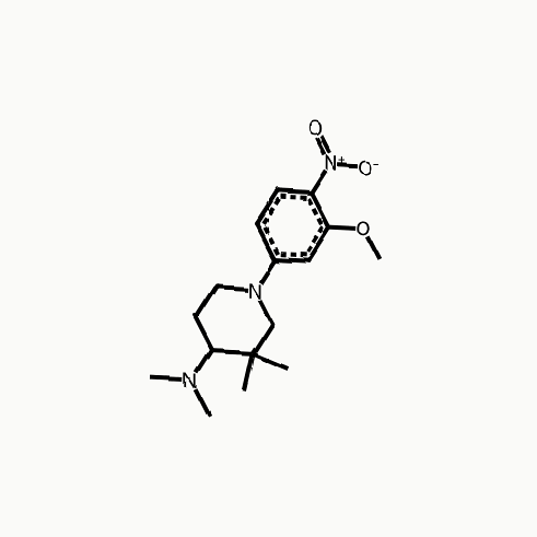 COc1cc(N2CCC(N(C)C)C(C)(C)C2)ccc1[N+](=O)[O-]